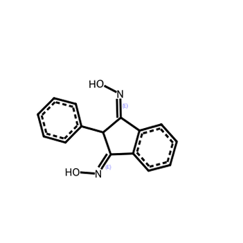 O/N=C1/c2ccccc2/C(=N/O)C1c1ccccc1